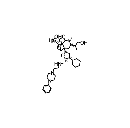 CC(C)C1=CC2CC3(C=O)[C@H](C)[C@@H]([C@H](C)CO)CC2([C@H]2C[C@@H](C4CCCCC4)[C@H](CNCCN4CCN(c5ccccc5)CC4)O2)[C@]13C(=O)O